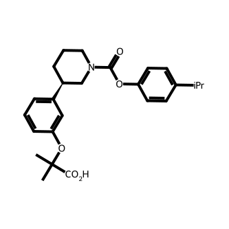 CC(C)c1ccc(OC(=O)N2CCC[C@H](c3cccc(OC(C)(C)C(=O)O)c3)C2)cc1